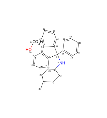 CC1CCC(NC(c2ccccc2)(c2ccccc2)c2ccccc2)CC1.O=C(O)O